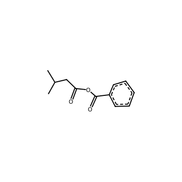 CC(C)CC(=O)OC(=O)c1ccccc1